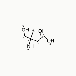 [NH]C(CO)(CO)CCO